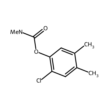 CNC(=O)Oc1cc(C)c(C)cc1Cl